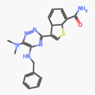 CN(C)c1nnc(C2=CSC3C(C(N)=O)=CC=CC23)nc1NCc1ccccc1